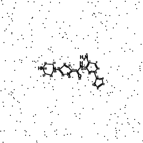 Nc1ccc(-c2cccs2)cc1NC(=O)c1ccc(N2CCNCC2)cn1